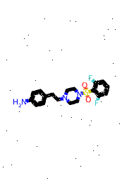 Nc1ccc(CCN2CCN(S(=O)(=O)c3c(F)cccc3F)CC2)cc1